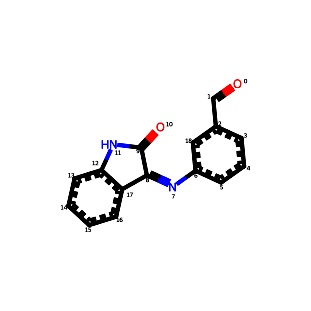 O=Cc1cccc(/N=C2\C(=O)Nc3ccccc32)c1